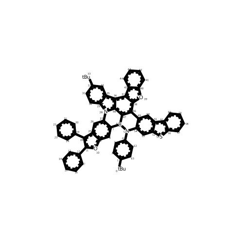 CC(C)(C)c1ccc(N2B3c4cc5oc(-c6ccccc6)c(-c6ccccc6)c5cc4-n4c5ccc(C(C)(C)C)cc5c5c6c(oc7ccccc76)c(c3c54)-c3cc4c(cc32)sc2ccccc24)cc1